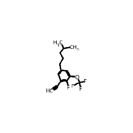 C#Cc1cc(CCCC(C)C)cc(OC(F)(F)F)c1F